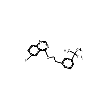 CC(C)(C)c1cccc(CCOc2ncnc3ccc(F)cc23)c1